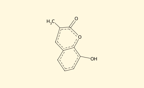 Cc1cc2cccc(O)c2oc1=O